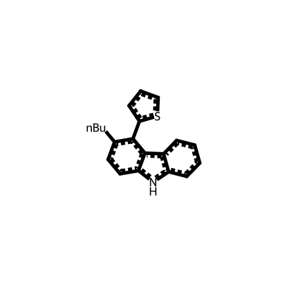 CCCCc1ccc2[nH]c3ccccc3c2c1-c1cccs1